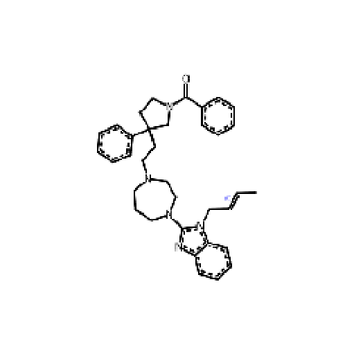 C/C=C/Cn1c(N2CCCN(CCC3(c4ccccc4)CCN(C(=O)c4ccccc4)C3)CC2)nc2ccccc21